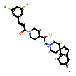 O=C(/C=C/c1cc(F)cc(F)c1)N1CCC(C(O)CN2CCC3(C=Cc4cc(Cl)ccc43)CC2)CC1